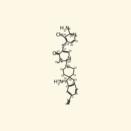 C#Cc1ccc2c(c1)[C@@H](N)C1(CCN(c3ncc(Sc4ccnc(N)c4Cl)c(=O)n3C)CC1)C2